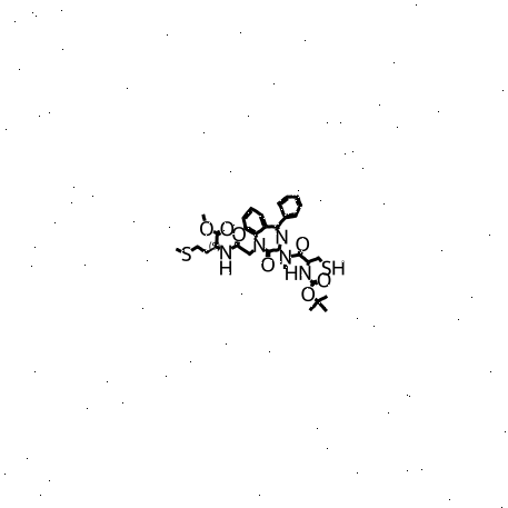 COC(=O)[C@H](CCSC)NC(=O)CN1C(=O)C(N(C)C(=O)C(CS)NC(=O)OC(C)(C)C)N=C(c2ccccc2)c2ccccc21